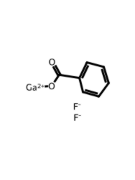 O=C([O][Ga+2])c1ccccc1.[F-].[F-]